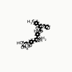 CCO[C@@H](CO)COc1ccc(C2=CNC(N)C(c3ccc(NC(=O)c4cn(CC5CCOCC5)cc(-c5ccc(C)cc5)c4=O)cc3)=C2)cc1OC